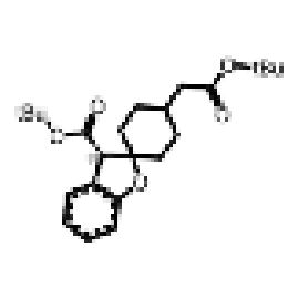 CC(C)(C)OC(=O)CC1CCC2(CC1)Oc1ccccc1[C@H]2C(=O)OC(C)(C)C